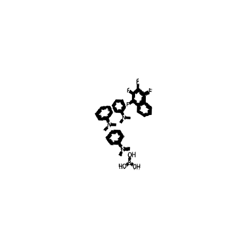 CN(C)c1ccccc1.CN(C)c1ccccc1.CN(C)c1ccccc1.Fc1c(F)c(F)c2ccccc2c1F.OB(O)O